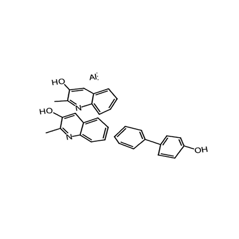 Cc1nc2ccccc2cc1O.Cc1nc2ccccc2cc1O.Oc1ccc(-c2ccccc2)cc1.[Al]